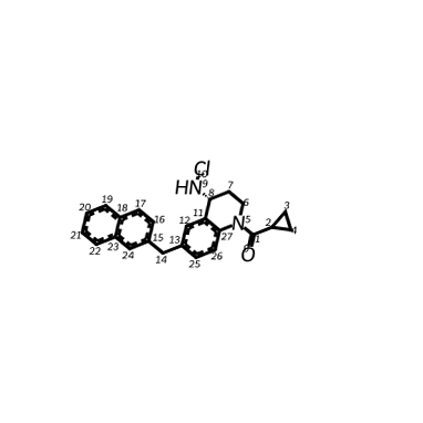 O=C(C1CC1)N1CC[C@@H](NCl)c2cc(Cc3ccc4ccccc4c3)ccc21